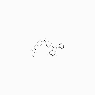 Nc1ncc(CN2CCC(C(=O)N3CCC(C(=NOc4ccccc4)c4ccccn4)CC3)CC2)cn1